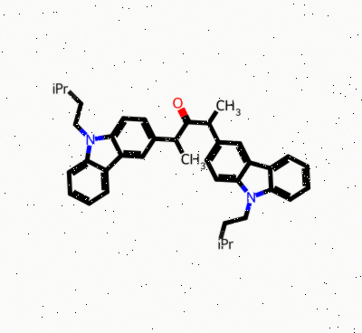 CC(C)CCn1c2ccccc2c2cc(C(C)C(=O)C(C)c3ccc4c(c3)c3ccccc3n4CCC(C)C)ccc21